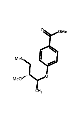 CNC[C@@H](OC)[C@H](C)Oc1ccc(C(=O)OC)cc1